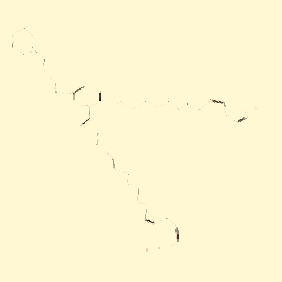 CCCCC/C=C\C/C=C\CCCCCCCCOC(=O)C(OC(=O)CCCCN1CCCCC1)C(=O)OCCCCCCCC/C=C\C/C=C\CCCCC